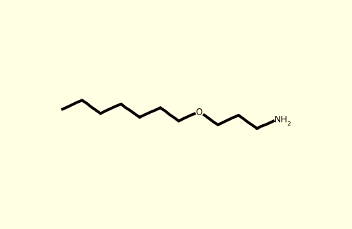 CCCCCCCOCCCN